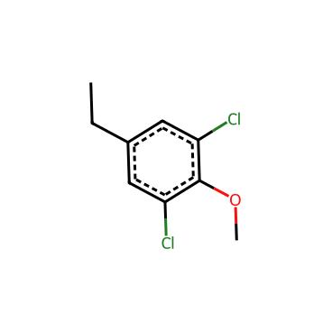 CCc1cc(Cl)c(OC)c(Cl)c1